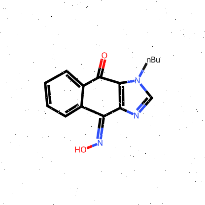 CCCCn1cnc2c1C(=O)c1ccccc1C2=NO